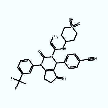 CC=C(NC1CCS(=N)(=O)CC1)N1C(=O)N(c2cccc(C(F)(F)F)c2)C2=C(C(=O)CC2)C1c1ccc(C#N)cc1